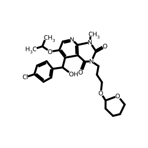 CC(C)Oc1cnc2c(c1C(O)c1ccc(Cl)cc1)c(=O)n(CCCOC1CCCCO1)c(=O)n2C